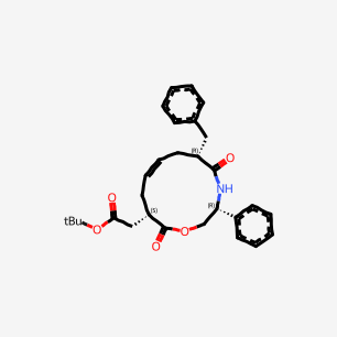 CC(C)(C)OC(=O)C[C@@H]1CC=CC[C@H](Cc2ccccc2)C(=O)N[C@H](c2ccccc2)COC1=O